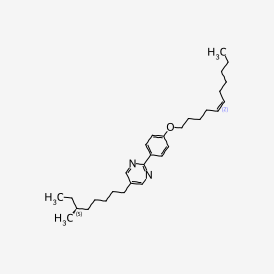 CCCCC/C=C\CCCCOc1ccc(-c2ncc(CCCCC[C@@H](C)CC)cn2)cc1